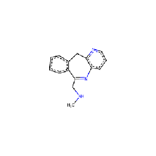 CNCC1=Nc2cccnc2Cc2ccccc21